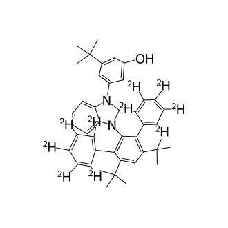 [2H]c1c([2H])c([2H])c(-c2c(C(C)(C)C)cc(C(C)(C)C)c(-c3c([2H])c([2H])c([2H])c([2H])c3[2H])c2N2CN(c3cc(O)cc(C(C)(C)C)c3)c3ccccc32)c([2H])c1[2H]